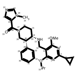 COc1nc(C2CC2)nc(OC(C)C)c1CN[C@H]1CCN(C(=O)c2cncn2C)C[C@H]1c1ccccc1